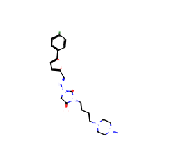 CN1CCN(CCCCN2C(=O)CN(N=Cc3ccc(-c4ccc(Cl)cc4)o3)C2=O)CC1